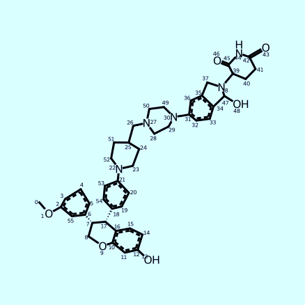 COc1cccc([C@H]2COc3cc(O)ccc3[C@H]2c2ccc(N3CCC(CN4CCN(c5ccc6c(c5)CN(C5CCC(=O)NC5=O)C6O)CC4)CC3)cc2)c1